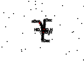 CCCCCCCCCCCCCCCCCCOC(C(=O)O)(C(C(C)=O)C(=O)O)C(CCCCCCCCCCCCCCCCCC)(CCCCCCCCCCCCCCCCCC)C(=O)O